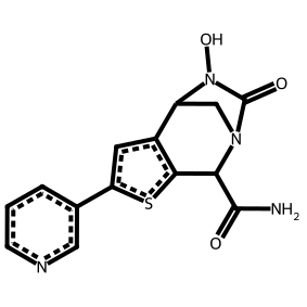 NC(=O)C1c2sc(-c3cccnc3)cc2C2CN1C(=O)N2O